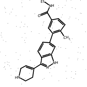 CCNC(=O)c1ccc(C)c(-c2ccc3c(C4=CCNCC4)n[nH]c3c2)c1